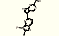 Cc1nc2ccc(-c3c[nH]c4nc(CC(C)C)ncc34)nc2n1C(C)C